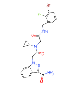 NC(=O)c1nn(CC(=O)N(CC(=O)NCc2cccc(Br)c2F)C2CC2)c2ccccc12